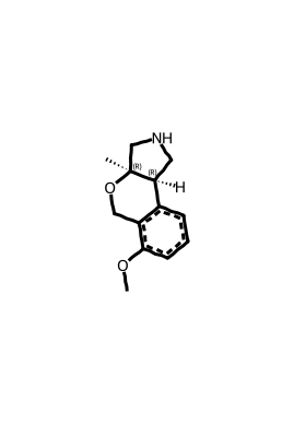 COc1cccc2c1CO[C@@]1(C)CNC[C@@H]21